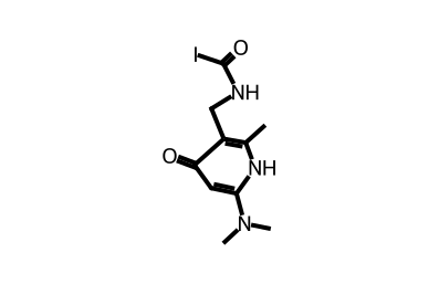 Cc1[nH]c(N(C)C)cc(=O)c1CNC(=O)I